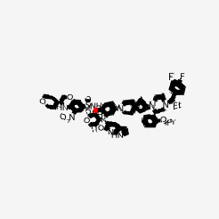 CCC(c1ccc(F)c(F)c1)N1CCN(C2CC3(CCN(c4ccc(C(=O)NS(=O)(=O)c5cc6c(c([N+](=O)[O-])c5)N[C@H](C5CCOCC5)CO6)c(N5c6cc7cc[nH]c7nc6O[C@H]6COCC[C@@H]65)c4)CC3)C2)[C@H](c2ccccc2OC(C)C)C1